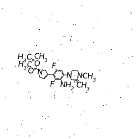 C[C@H]1CN(c2cc(F)c(C3=CCN(C(=O)OC(C)(C)C)C3)c(F)c2N)CCN1C